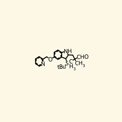 CC(C)(C=O)CC1Nc2ccc(OCc3ccccn3)cc2C1SC(C)(C)C